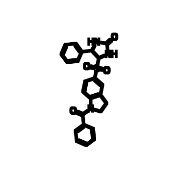 O=C1NC(c2ccccc2)C(S(=O)(=O)c2ccc3c(c2)CCN3C(=O)c2ccccc2)N1